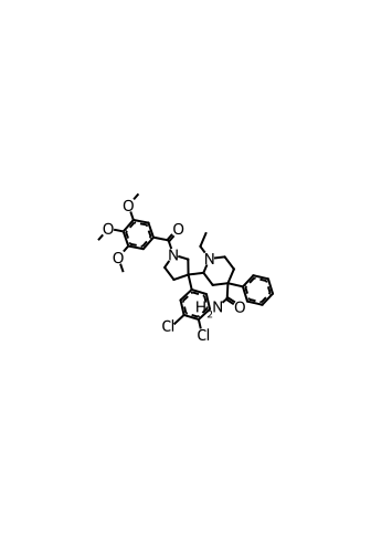 CCN1CCC(C(N)=O)(c2ccccc2)CC1C1(c2ccc(Cl)c(Cl)c2)CCN(C(=O)c2cc(OC)c(OC)c(OC)c2)C1